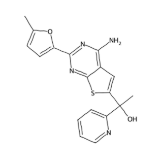 Cc1ccc(-c2nc(N)c3cc(C(C)(O)c4ccccn4)sc3n2)o1